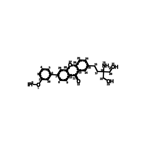 CC(C)Oc1cccc(-c2ccc3c(=O)c4cc(CCC(N)(CO)CO)ccc4oc3c2)c1